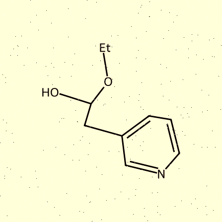 CCOC(O)Cc1cccnc1